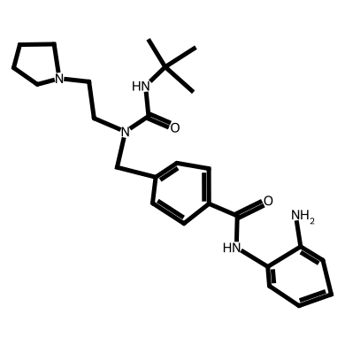 CC(C)(C)NC(=O)N(CCN1CCCC1)Cc1ccc(C(=O)Nc2ccccc2N)cc1